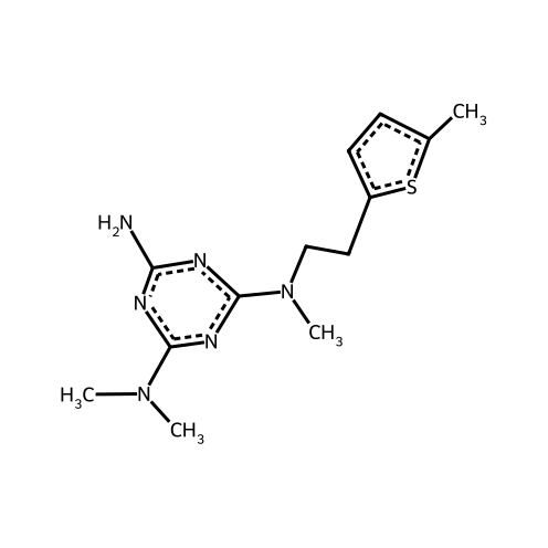 Cc1ccc(CCN(C)c2nc(N)nc(N(C)C)n2)s1